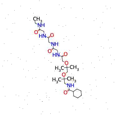 CCNC(=O)CNC(=O)CNC(=O)CNC(=O)COC(C)(C)COC(C)(C)CNC(=O)C1CCCCC1